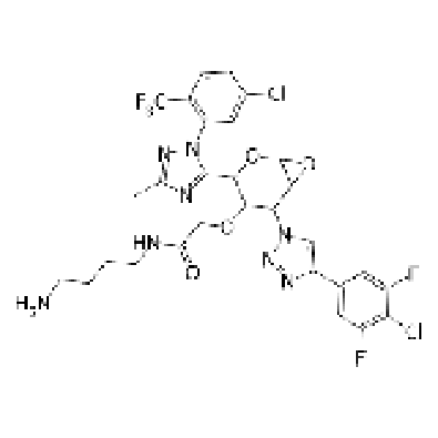 Cc1nc(C2OC3OC3C(n3cc(-c4cc(F)c(Cl)c(F)c4)nn3)C2OCC(=O)NCCCCN)n(-c2cc(Cl)ccc2C(F)(F)F)n1